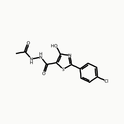 CC(=O)NNC(=O)c1sc(-c2ccc(Cl)cc2)nc1O